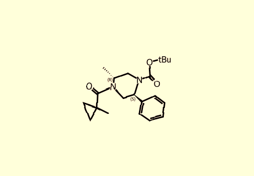 C[C@@H]1CN(C(=O)OC(C)(C)C)[C@@H](c2ccccc2)CN1C(=O)C1(C)CC1